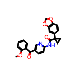 COc1ccccc1C(=O)c1ccc(NC(=O)C2(c3ccc4c(c3)OCO4)CC2)nc1